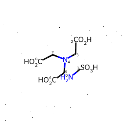 NS(=O)(=O)O.O=C(O)CN(CC(=O)O)CC(=O)O